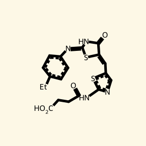 CCc1ccc(/N=C2/NC(=O)/C(=C/c3cnc(NC(=O)CCC(=O)O)s3)S2)cc1